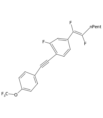 CCCCCC(F)=C(F)c1ccc(C#Cc2ccc(OC(F)(F)F)cc2)c(F)c1